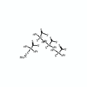 CCC[N+]([S-])(CCC)C(=S)[S-].CCC[N+]([S-])(CCC)C(=S)[S-].CCC[N+]([S-])(CCC)C(=S)[S-].CCC[N+]([S-])(CCC)C(=S)[S-].[S]=[Mo+4]